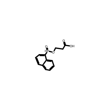 O=C(O)CCO[PH](=O)c1cccc2ccccc12